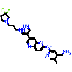 CC(C)C(=C/N)/C=C(\N)Nc1ccc2ncc(/C(C=N)=C/NCCCN3CCC(F)(F)C3)cc2n1